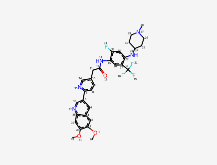 COc1cc2cc(-c3ccc(CC(=O)Nc4cc(C(F)(F)F)c(NC5CCN(C)CC5)cc4F)cn3)cnc2cc1OC